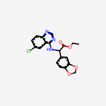 CCOC(=O)C(Nc1ncnc2ccc(Cl)cc12)c1ccc2c(c1)OCO2